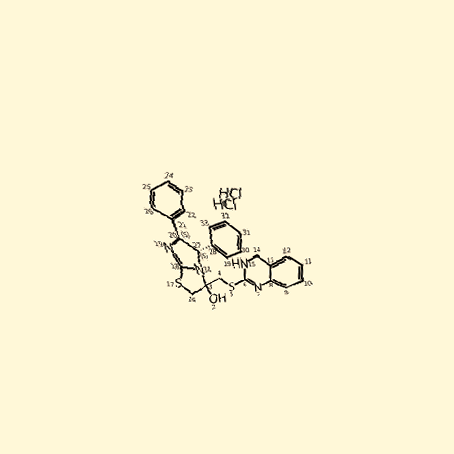 Cl.Cl.OC1(CSC2=Nc3ccccc3CN2)CSC2=N[C@@H](c3ccccc3)[C@H](c3ccccc3)N21